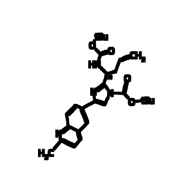 C=CC[C@H](NC(=O)OC(C)(C)C)c1nc(-c2ccc3nc(C)ccc3c2)cn1C(=O)OC(C)(C)C